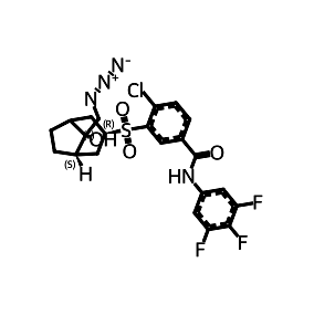 [N-]=[N+]=NC[C@]1(O)C2CC[C@H]1C[C@H](S(=O)(=O)c1cc(C(=O)Nc3cc(F)c(F)c(F)c3)ccc1Cl)C2